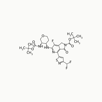 CC(C)(C)OC(=O)N[C@H]1COCC[C@H]1Nc1nc(-c2cc(C(F)F)ns2)c2c(c1F)CN(C(=O)OC(C)(C)C)C2=O